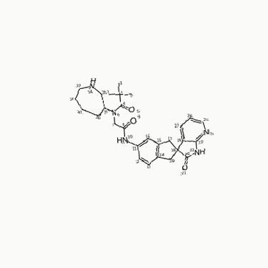 CC(C)(C)C(=O)N(CC(=O)Nc1ccc2c(c1)CC1(C2)C(=O)Nc2ncccc21)C1CCCCNC1